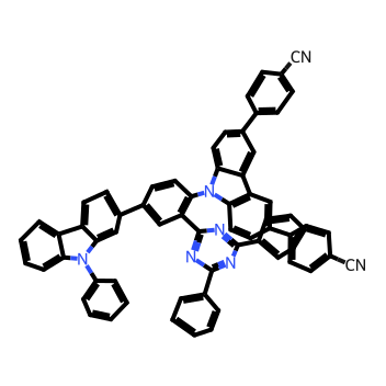 N#Cc1ccc(-c2ccc3c(c2)c2cc(-c4ccc(C#N)cc4)ccc2n3-c2ccc(-c3ccc4c5ccccc5n(-c5ccccc5)c4c3)cc2-c2nc(-c3ccccc3)nc(-c3ccccc3)n2)cc1